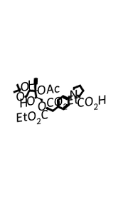 C#C[C@@]1(OC(C)=O)[C@@H](COC(Cc2ccc(N3CCCC3C(=O)O)cc2)(C(=O)OCC)C(=O)OCC)O[C@@H]2OC(C)(C)O[C@@H]21